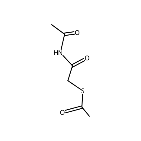 CC(=O)NC(=O)CSC(C)=O